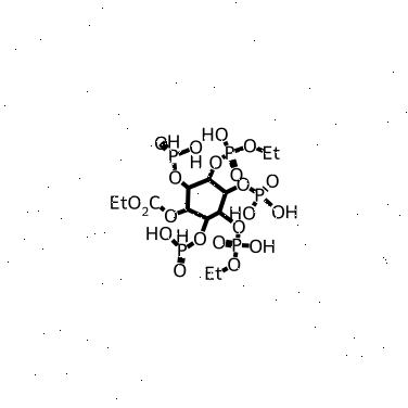 CCOC(=O)OC1C(O[PH](=O)O)C(OP(=O)(O)OCC)C(OP(=O)(O)O)C(OP(=O)(O)OCC)C1O[PH](=O)O